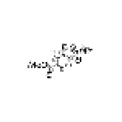 CCCS(=O)(=O)c1ccc(C(=O)OC)c(C)c1F